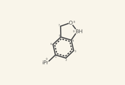 CC(C)c1ccc2c(c1)COB2